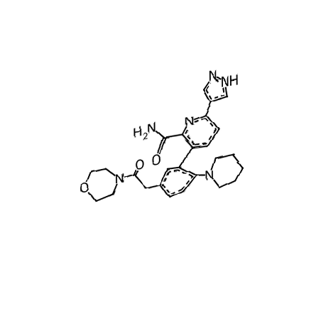 NC(=O)c1nc(-c2cn[nH]c2)ccc1-c1cc(CC(=O)N2CCOCC2)ccc1N1CCCCC1